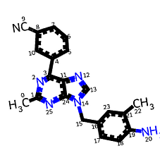 Cc1nc(-c2cccc(C#N)c2)c2ncn(Cc3ccc(N)c(C)c3)c2n1